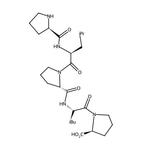 CC[C@H](C)[C@H](NC(=O)[C@@H]1CCCN1C(=O)[C@H](CC(C)C)NC(=O)[C@H]1CCCN1)C(=O)N1CCC[C@H]1C(=O)O